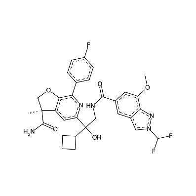 COc1cc(C(=O)NCC(O)(c2cc3c(c(-c4ccc(F)cc4)n2)OC[C@]3(C)C(N)=O)C2CCC2)cc2cn(C(F)F)nc12